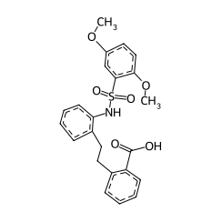 COc1ccc(OC)c(S(=O)(=O)Nc2ccccc2CCc2ccccc2C(=O)O)c1